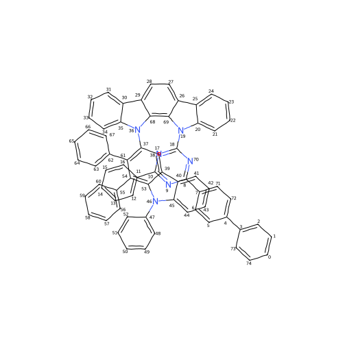 c1ccc(-c2ccc(-c3nc(-c4ccccc4)nc(-n4c5ccccc5c5ccc6c7ccccc7n(-c7cc8c9ccccc9n(-c9ccccc9)c8c(-c8ccccc8)c7-c7ccccc7)c6c54)n3)cc2)cc1